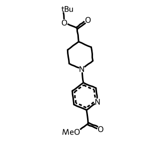 COC(=O)c1ccc(N2CCC(C(=O)OC(C)(C)C)CC2)cn1